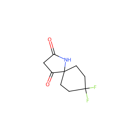 O=C1CC(=O)C2(CCC(F)(F)CC2)N1